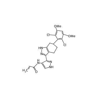 C=CC(=O)Nc1c[nH]nc1-c1n[nH]c2c1CCC(c1c(Cl)c(OC)cc(OC)c1Cl)C2